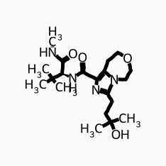 CNC(=O)[C@@H](NC(=O)c1nc(CCC(C)(C)O)n2c1CCOCC2)C(C)(C)C